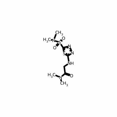 CN(C)C(=O)CNc1nnc(S(=O)(=O)N(C)C)s1